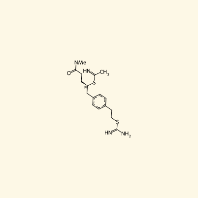 CNC(=O)CC[C@H](Cc1ccc(CCSC(=N)N)cc1)SC(C)=N